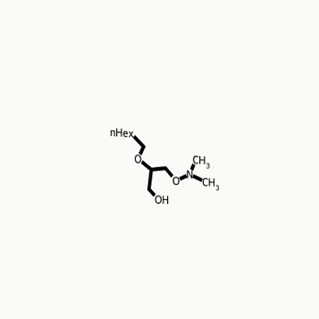 CCCCCCCOC(CO)CON(C)C